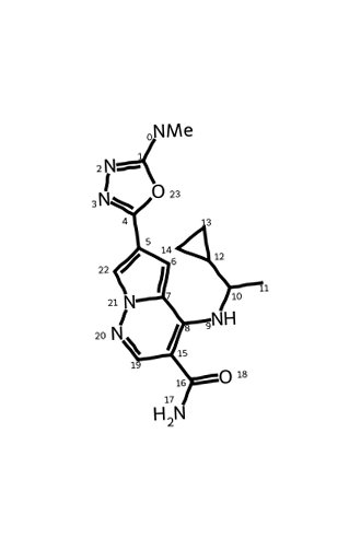 CNc1nnc(-c2cc3c(NC(C)C4CC4)c(C(N)=O)cnn3c2)o1